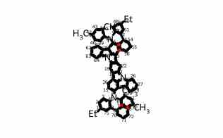 CCc1ccc(N(c2ccc(C)cc2C)c2ccc3c4cc5c(cc4n4c6ccccc6c2c34)c2ccc(N(c3ccc(C)cc3C)c3ccc(CC)cc3-c3ccccc3)c3c4ccccc4n5c23)c(-c2ccccc2)c1